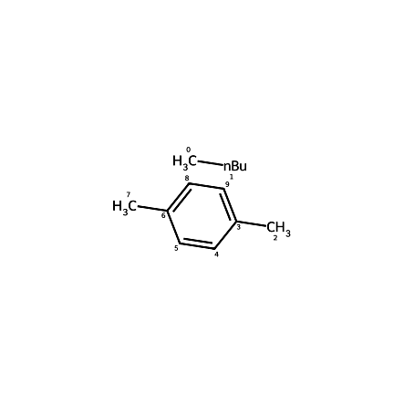 CCCCC.Cc1ccc(C)cc1